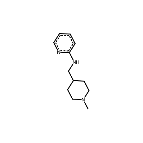 CN1CCC(CNc2ccccn2)CC1